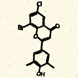 Cc1cc(-c2cc(=O)c3cc(Cl)cc(Br)c3o2)cc(C)c1O